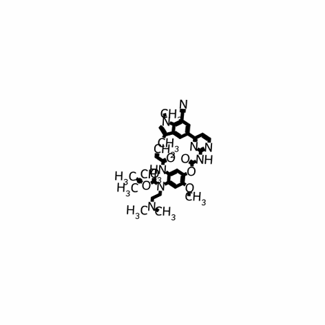 C=CC(=O)Nc1cc(OC(=O)Nc2nccc(-c3cc(C#N)c4c(c3)c(C)cn4C)n2)c(OC)cc1N(CCN(C)C)C(=O)OC(C)(C)C